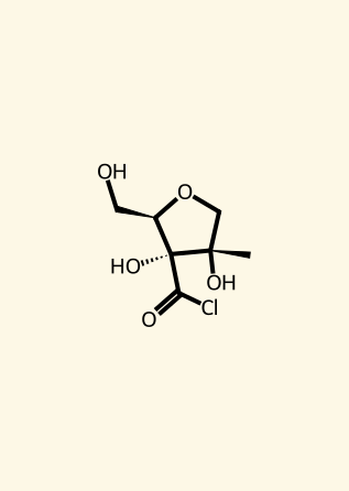 C[C@]1(O)CO[C@H](CO)[C@]1(O)C(=O)Cl